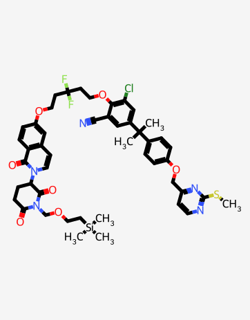 CSc1nccc(COc2ccc(C(C)(C)c3cc(Cl)c(OCCC(F)(F)CCOc4ccc5c(=O)n(C6CCC(=O)N(COCC[Si](C)(C)C)C6=O)ccc5c4)c(C#N)c3)cc2)n1